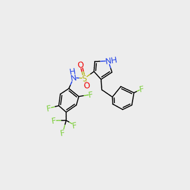 O=S(=O)(Nc1cc(F)c(C(F)(F)F)cc1F)c1c[nH]cc1Cc1cccc(F)c1